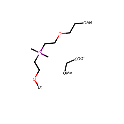 CCOCC[P+](C)(C)CCOCCOC.COCC(=O)[O-]